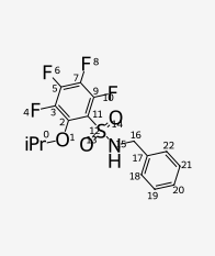 CC(C)Oc1c(F)c(F)c(F)c(F)c1S(=O)(=O)NCc1ccccc1